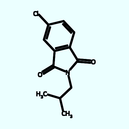 CC(C)CN1C(=O)c2ccc(Cl)cc2C1=O